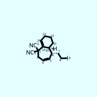 N#CC1(C#N)CC=C[C@@H](CCI)[C@@H]2CCCC=C21